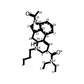 CCCCN1C[C@H](C(=O)N(CC)CC)C=C2c3cccc4c3c(cn4C(C)=O)C[C@H]21